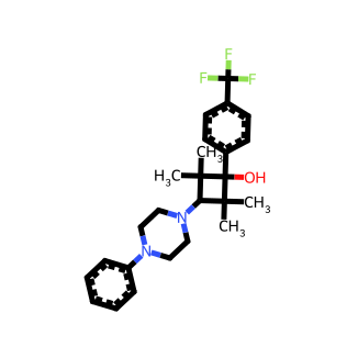 CC1(C)C(N2CCN(c3ccccc3)CC2)C(C)(C)C1(O)c1ccc(C(F)(F)F)cc1